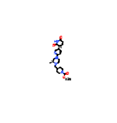 CCCCOC(=O)N1CCC(CN2CCN(c3ccc([C@H]4CCC(=O)NC4=O)cn3)C[C@@H]2C)CC1